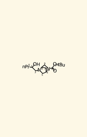 CCCC(O)CN1CC2CC1CN2C(=O)OC(C)(C)C